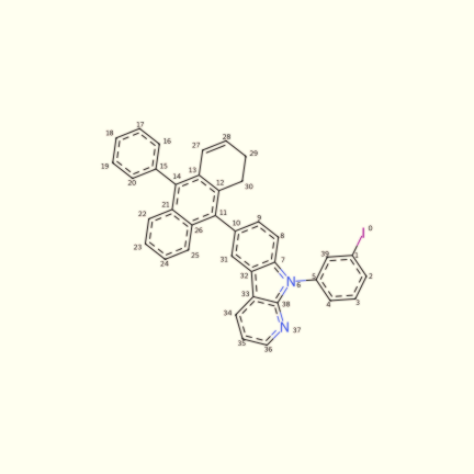 Ic1cccc(-n2c3ccc(-c4c5c(c(-c6ccccc6)c6ccccc46)C=CCC5)cc3c3cccnc32)c1